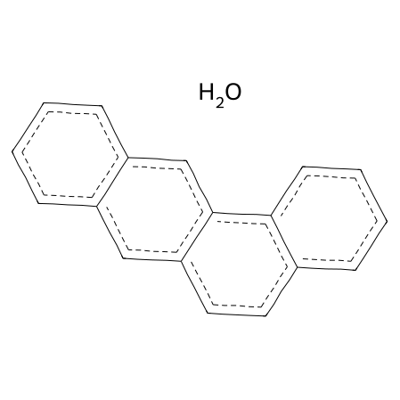 O.c1ccc2cc3c(ccc4ccccc43)cc2c1